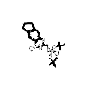 CC(C)(C)OP(=O)(OCc1nc2cc3c(cc2[n+]([O-])n1)CCC3)OC(C)(C)C